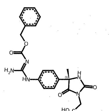 C[C@@]1(c2ccc(NC(N)=NC(=O)OCc3ccccc3)cc2)NC(=O)N(CC(=O)O)C1=O